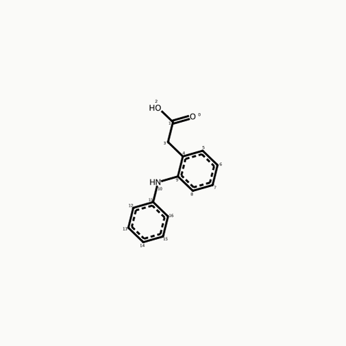 O=C(O)Cc1ccccc1Nc1ccccc1